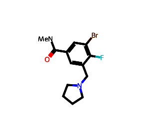 CNC(=O)c1cc(Br)c(F)c(CN2CCCC2)c1